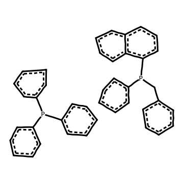 c1ccc(CP(c2ccccc2)c2cccc3ccccc23)cc1.c1ccc(P(c2ccccc2)c2ccccc2)cc1